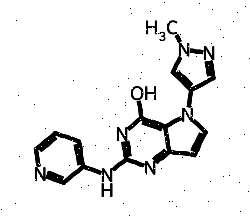 Cn1cc(-n2ccc3nc(Nc4cccnc4)nc(O)c32)cn1